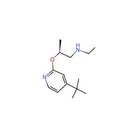 CCNC[C@H](C)Oc1cc(C(C)(C)C)ccn1